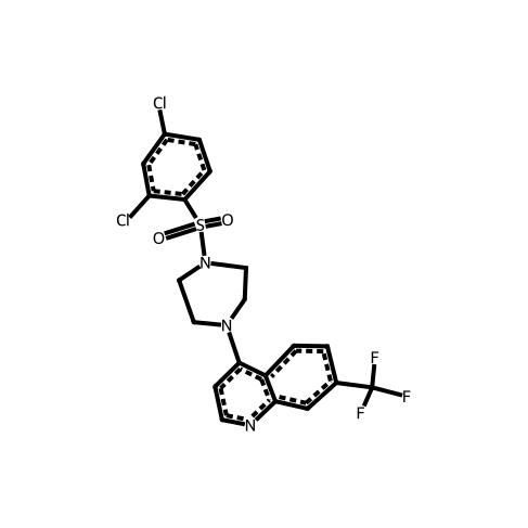 O=S(=O)(c1ccc(Cl)cc1Cl)N1CCN(c2ccnc3cc(C(F)(F)F)ccc23)CC1